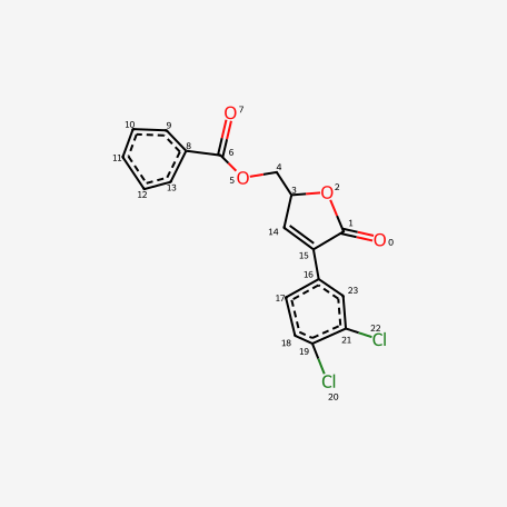 O=C1OC(COC(=O)c2ccccc2)C=C1c1ccc(Cl)c(Cl)c1